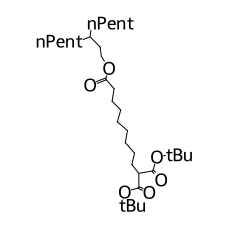 CCCCCC(CCCCC)CCOC(=O)CCCCCCCCC(C(=O)OC(C)(C)C)C(=O)OC(C)(C)C